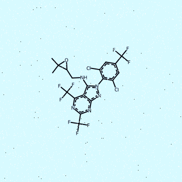 CC1(C)OC1CNc1c2c(C(F)(F)F)nc(C(F)(F)F)nc2nn1-c1c(Cl)cc(C(F)(F)F)cc1Cl